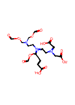 O=COCN(CCN(CCN(CC(=O)O)CC(=O)O)C(CCC(=O)O)OC=O)COC=O